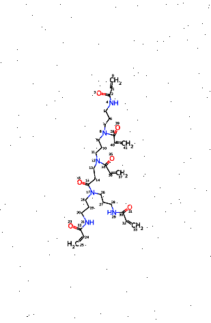 C=CC(=O)NCCCN(CCCN(CCC(=O)N(CCCNC(=O)C=C)CCCNC(=O)C=C)C(=O)C=C)C(=O)C=C